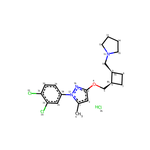 Cc1cc(OC[C@@H]2CC[C@@H]2CN2CCCC2)nn1-c1ccc(Cl)c(Cl)c1.Cl